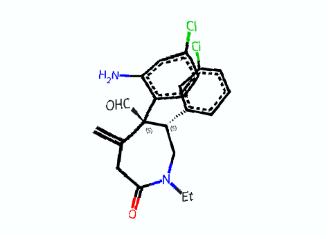 C=C1CC(=O)N(CC)C[C@@H](c2cccc(Cl)c2)[C@@]1(C=O)c1ccc(Cl)cc1N